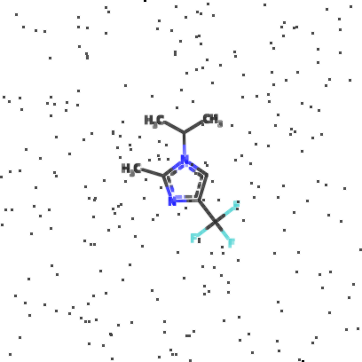 Cc1nc(C(F)(F)F)cn1C(C)C